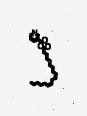 CCCCC/C=C\C/C=C\CCCCCCCC(=O)OC(=O)c1cccnc1